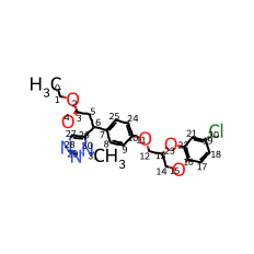 CCOC(=O)CC(c1ccc(OCC2COc3ccc(Cl)cc3O2)cc1)c1cnnn1C